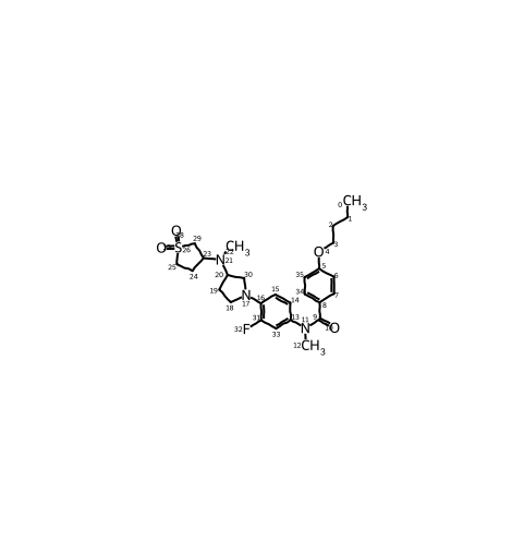 CCCCOc1ccc(C(=O)N(C)c2ccc(N3CCC(N(C)C4CCS(=O)(=O)C4)C3)c(F)c2)cc1